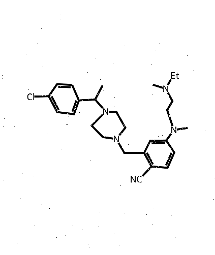 CCN(C)CCN(C)c1ccc(C#N)c(CN2CCN(C(C)c3ccc(Cl)cc3)CC2)c1